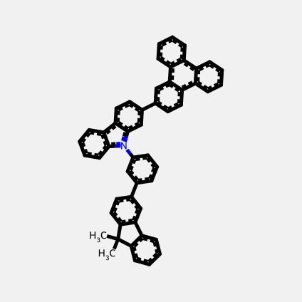 CC1(C)c2ccccc2-c2cc(-c3cccc(-n4c5ccccc5c5ccc(-c6ccc7c8ccccc8c8ccccc8c7c6)cc54)c3)ccc21